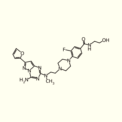 CN(CCN1CCN(c2ccc(C(=O)NCCO)cc2F)CC1)c1nc(N)n2nc(-c3ccco3)cc2n1